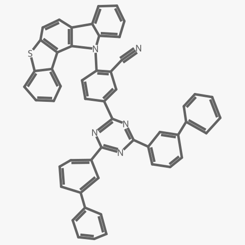 N#Cc1cc(-c2nc(-c3cccc(-c4ccccc4)c3)nc(-c3cccc(-c4ccccc4)c3)n2)ccc1-n1c2ccccc2c2ccc3sc4ccccc4c3c21